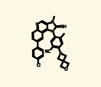 Cc1cc(N2CC3(COC3)C2)c(C#N)cc1-n1c(=N)n(C)c2cnc3ccc(-c4ccc(Cl)cc4)cc3c21